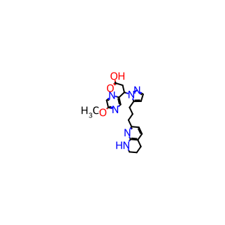 COc1cnc(C(CC(=O)O)n2nccc2CCCc2ccc3c(n2)NCCC3)cn1